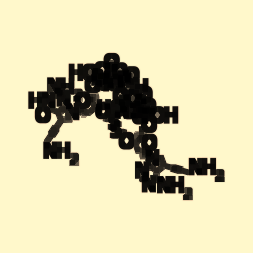 NCC#Cc1cn([C@H]2CC(OCSSCOC3C[C@H](n4cc(C#CCN)c5c(=O)[nH]c(N)nc54)O[C@@H]3COP(=O)(O)OP(=O)(O)OP(=O)(O)O)[C@@H](COP(=O)(O)OP(=O)(O)OP(=O)(O)O)O2)c2ncnc(N)c12